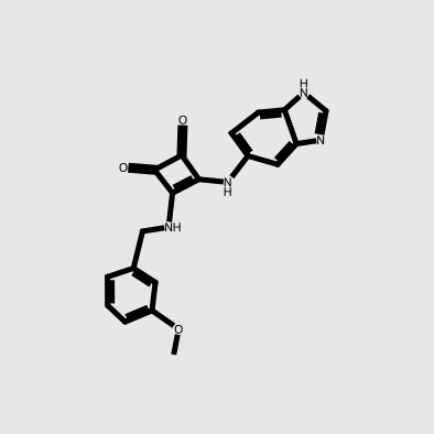 COc1cccc(CNc2c(Nc3ccc4[nH]cnc4c3)c(=O)c2=O)c1